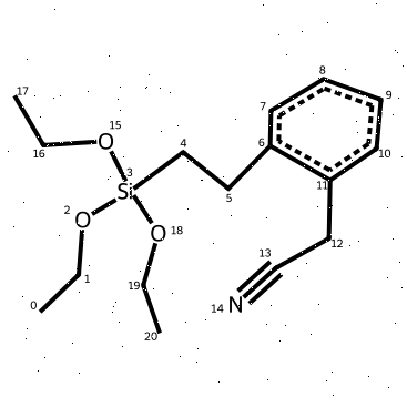 CCO[Si](CCc1ccccc1CC#N)(OCC)OCC